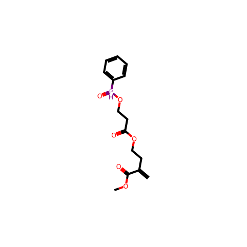 C=C(CCOC(=O)CCO[PH](=O)c1ccccc1)C(=O)OC